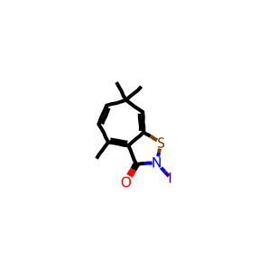 CC1=c2c(sn(I)c2=O)=CC(C)(C)C=C1